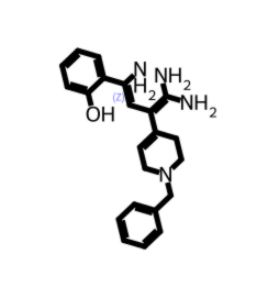 NC(N)=C(/C=C(\N)c1ccccc1O)C1=CCN(Cc2ccccc2)CC1